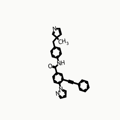 CC1(Cc2ccc(NC(=O)c3ccc(-n4cccn4)c(C#Cc4ccccc4)c3)cc2)C=CN=C1